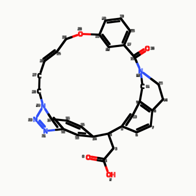 O=C(O)CC1c2ccc3c(c2)CN(CC3)C(=O)c2cccc(c2)OC/C=C/CCn2nnc3cc1ccc32